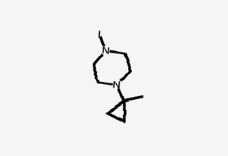 CC1(N2CCN(I)CC2)CC1